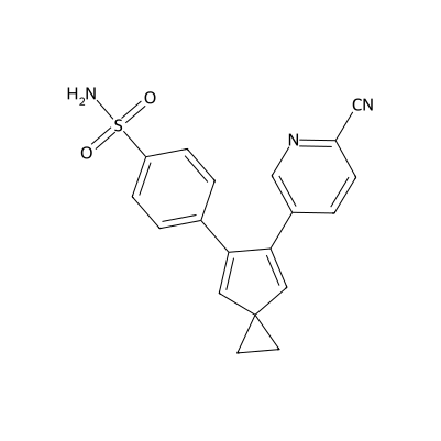 N#Cc1ccc(C2=CC3(C=C2c2ccc(S(N)(=O)=O)cc2)CC3)cn1